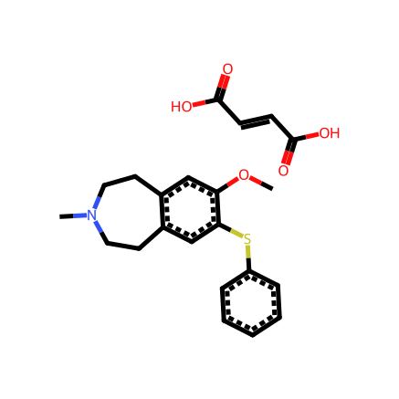 COc1cc2c(cc1Sc1ccccc1)CCN(C)CC2.O=C(O)C=CC(=O)O